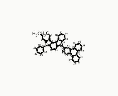 C=C/C=c1\c(=C/C)c2c3c4ccccc4n(-c4nnc5c6ccccc6c6ccccc6c5n4)c3ccc2n1-c1ccccc1